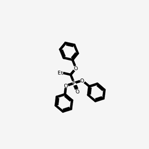 CCC(Oc1ccccc1)P(=O)(Oc1ccccc1)Oc1ccccc1